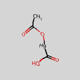 CC(=O)[O][Hg][C](=O)O